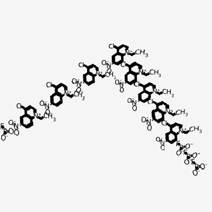 CC[n+]1ccc(Cl)c2cc([N+](=O)[O-])ccc21.CC[n+]1ccc(Cl)c2cc([N+](=O)[O-])ccc21.CC[n+]1ccc(Cl)c2cc([N+](=O)[O-])ccc21.CC[n+]1ccc(Cl)c2cc([N+](=O)[O-])ccc21.CC[n+]1ccc(Cl)c2cc([N+](=O)[O-])ccc21.CC[n+]1ccc(Cl)c2cc([N+](=O)[O-])ccc21.CC[n+]1ccc(Cl)c2cc([N+](=O)[O-])ccc21.CC[n+]1ccc(Cl)c2cc([N+](=O)[O-])ccc21.[O-]B([O-])F.[O-]B([O-])F.[O-]B([O-])F.[O-]B([O-])F